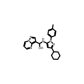 Cc1ccc(-n2nc(C3CCCCC3)cc2NC(O)c2cnn3cccnc23)cc1